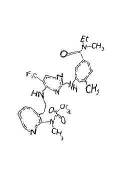 CCN(C)C(=O)c1ccc(C)c(Nc2ncc(C(F)(F)F)c(NCc3cccnc3N(C)S(C)(=O)=O)n2)c1